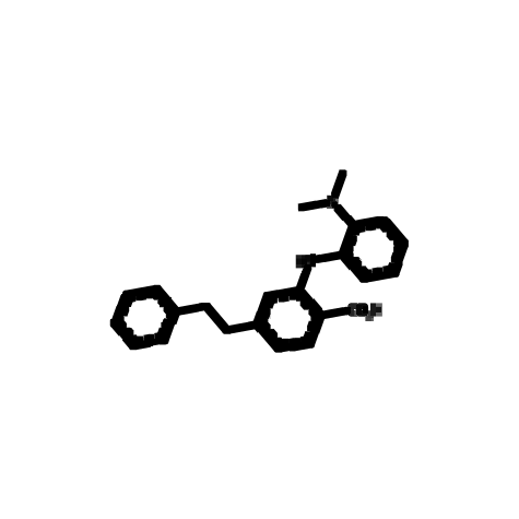 CN(C)c1ccccc1Nc1cc(CCc2ccccc2)ccc1C(=O)O